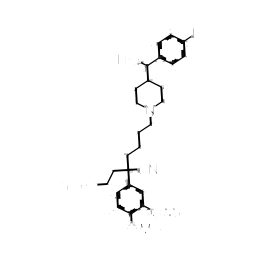 CCCCCCCCCCCCC(C#N)(CCCCN1CCC(C(O)c2ccc(F)cc2)CC1)c1ccc(OC)c(OC)c1